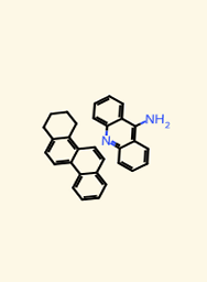 Nc1c2ccccc2nc2ccccc12.c1ccc2c(c1)ccc1c3c(ccc12)CCCC3